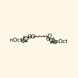 CCCCCCCCON1C(C)(C)CC(OCOCCCCCCCCC(=O)OC2CC(C)(C)N(OCCCCCCCC)C(C)(C)C2)CC1(C)C